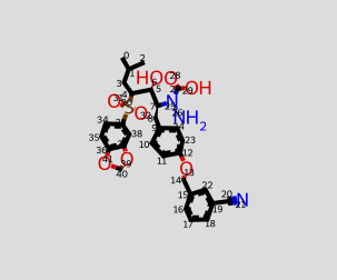 CC(C)CC([C@H](O)[C@H](Cc1ccc(OCc2cccc(C#N)c2)cc1)N(N)C(=O)O)S(=O)(=O)c1ccc2c(c1)OCO2